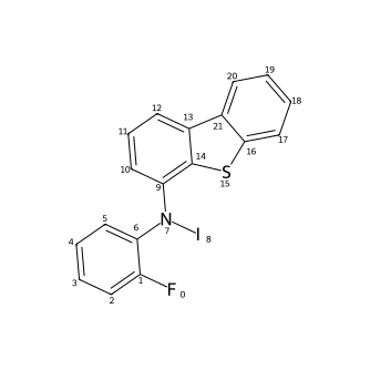 Fc1ccccc1N(I)c1cccc2c1sc1ccccc12